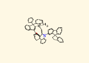 C[C@H]1C=C(N(c2ccc3c(c2)C2(CCc4ccccc42)c2ccccc2-3)c2ccccc2-c2ccccc2)C=CC2=C1C(c1ccccc1)(c1ccccc1)c1ccccc12